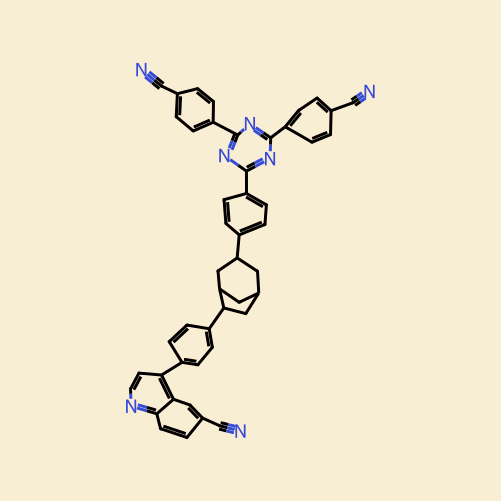 N#Cc1ccc(-c2nc(-c3ccc(C#N)cc3)nc(-c3ccc(C4CC5CC(C4)C(c4ccc(-c6ccnc7ccc(C#N)cc67)cc4)C5)cc3)n2)cc1